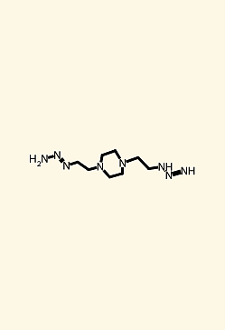 N=NNCCN1CCN(CCN=NN)CC1